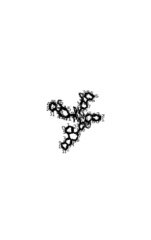 c1ccc2c(c1)-c1cc3ccccc3cc1CCC2c1cc(-c2nc(-c3ccc4c(c3)sc3ccccc34)nc(-c3ccc4c(c3)sc3ccccc34)n2)c2c(c1)oc1c3ccccc3ccc12